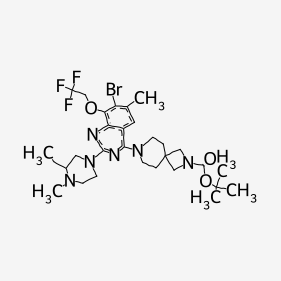 CCC1CN(c2nc(N3CCC4(CC3)CN(C(=O)OC(C)(C)C)C4)c3cc(C)c(Br)c(OCC(F)(F)F)c3n2)CCN1C